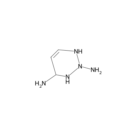 NC1C=CNN(N)N1